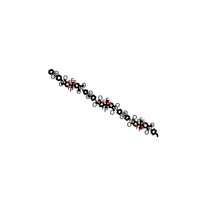 CCc1ccc(N2C(=O)c3ccc(C(c4ccc5c(c4)C(=O)N(c4ccc(S(=O)(=O)c6ccc(N7C(=O)c8ccc(C(c9ccc%10c(c9)C(=O)N(c9ccc(S(=O)(=O)c%11ccc(N%12C(=O)c%13ccc(C(c%14ccc%15c(c%14)C(=O)N(c%14ccc(S(=O)(=O)c%16ccccc%16)cc%14)C%15=O)(C(F)(F)F)C(F)(F)F)cc%13C%12=O)cc%11)cc9)C%10=O)(C(F)(F)F)C(F)(F)F)cc8C7=O)cc6)cc4)C5=O)(C(F)(F)F)C(F)(F)F)cc3C2=O)cc1